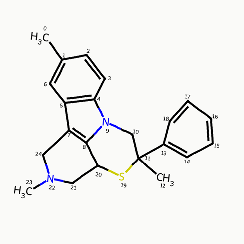 Cc1ccc2c(c1)c1c3n2CC(C)(c2ccccc2)SC3CN(C)C1